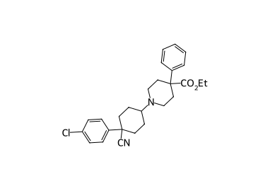 CCOC(=O)C1(c2ccccc2)CCN(C2CCC(C#N)(c3ccc(Cl)cc3)CC2)CC1